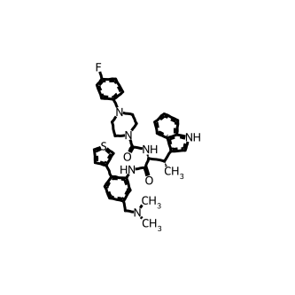 C[C@@H](c1c[nH]c2ccccc12)[C@@H](NC(=O)N1CCN(c2ccc(F)cc2)CC1)C(=O)Nc1cc(CN(C)C)ccc1-c1ccsc1